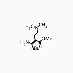 CCCCC(N)=C(CCN(C)C)C(=O)OC